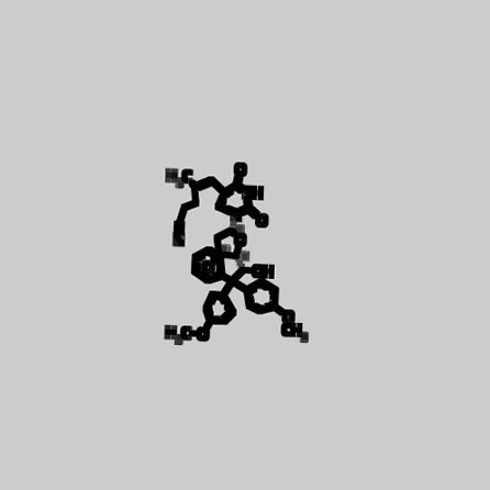 COc1ccc(C(c2ccccc2)(c2ccc(OC)cc2)C(O)[C@H]2O[C@@H](n3cc(C=C(C)CCC#N)c(=O)[nH]c3=O)C[C@@H]2O)cc1